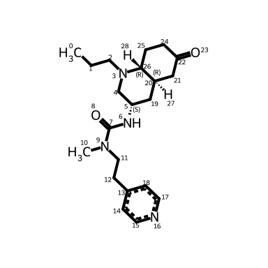 CCCN1C[C@@H](NC(=O)N(C)CCc2ccncc2)C[C@@H]2CC(=O)CC[C@H]21